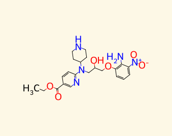 CCOC(=O)c1ccc(N(CC(O)COc2cccc([N+](=O)[O-])c2N)C2CCNCC2)nc1